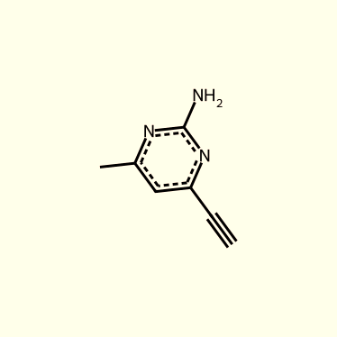 C#Cc1cc(C)nc(N)n1